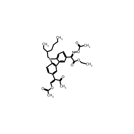 CCCCC(CC)Cn1c2ccc(/C(=C/OC(C)=O)C(C)=O)cc2c2cc(/C(=N/OC(C)=O)C(=O)OCC)ccc21